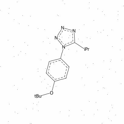 CC(C)c1nnnn1-c1ccc(OC(C)(C)C)cc1